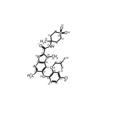 Cc1nc2nc(C(=O)NC3(C)CCS(=O)(=O)CC3)n(C)c2cc1Oc1ncc(Cl)cc1OCC(F)F